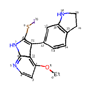 CCOc1ccnc2[nH]c(SI)c(-c3ccc4c(c3)NCC4)c12